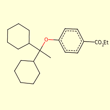 CCOC(=O)c1ccc(OC(C)(C2CCCCC2)C2CCCCC2)cc1